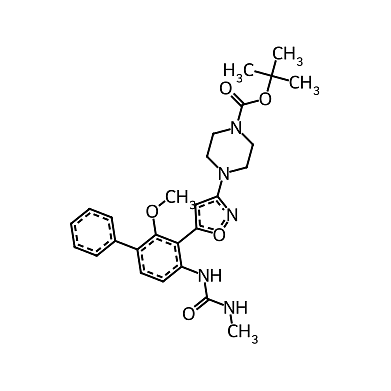 CNC(=O)Nc1ccc(-c2ccccc2)c(OC)c1-c1cc(N2CCN(C(=O)OC(C)(C)C)CC2)no1